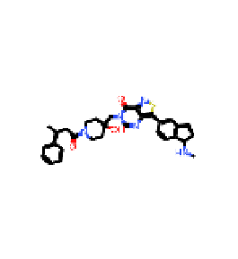 CNC1CCc2cc(-c3snc4c(=O)n(CC5(O)CCN(C(=O)CC(C)c6ccccc6)CC5)cnc34)ccc21